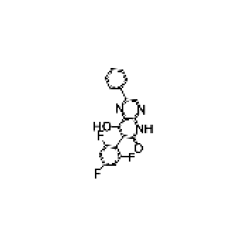 O=c1[nH]c2ncc(-c3ccccc3)nc2c(O)c1-c1c(F)cc(F)cc1F